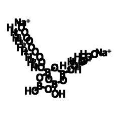 O.O.O.O.O.O.O.O.O.O.O.O.O.OB1O[B-]2(O)OB(O)O[B-](O)(O1)O2.[Na+].[Na+]